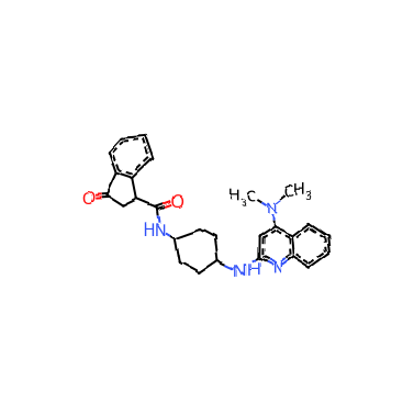 CN(C)c1cc(NC2CCC(NC(=O)C3CC(=O)c4ccccc43)CC2)nc2ccccc12